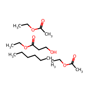 CCCCCC.CCOC(=O)CCO.CCOC(C)=O.CCOC(C)=O